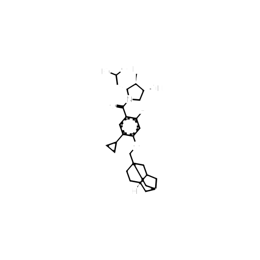 C[C@H]1[C@H](O)CN(C(=O)c2cc(C3CC3)c(OCC34CC[C@H]5CC(CC5C3)C4)cc2F)[C@@H]1CC(O)O